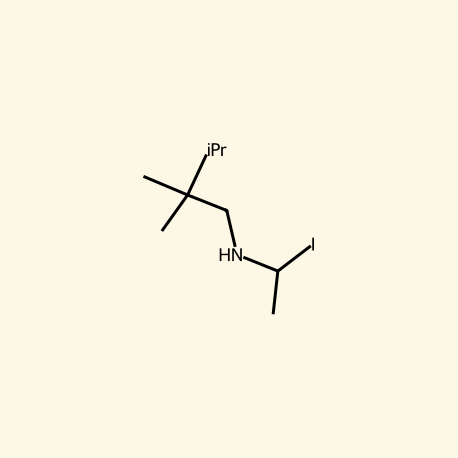 CC(I)NCC(C)(C)C(C)C